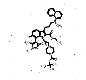 CCOC(=O)c1c(CCCN(C)c2cccc3ccccc23)c2ccc(Cl)c(-c3c(C)nn(C)c3C)c2n1CCN1CCN(C(=O)OC(C)(C)C)CC1